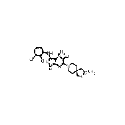 C[C@H]1CC2(CCN(c3nc4[nH]nc(Nc5cccc(Cl)c5Cl)c4n(C)c3=O)CC2)CO1